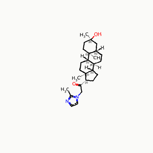 Cc1nccn1CC(=O)[C@H]1CC[C@H]2[C@@H]3CC[C@H]4C[C@](C)(O)CC[C@]4(C)[C@H]3CC[C@]12C